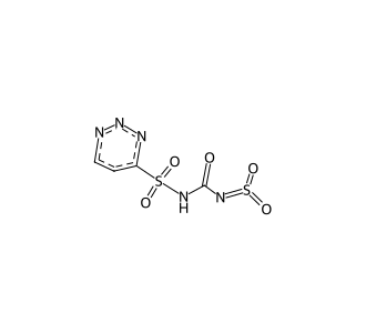 O=C(N=S(=O)=O)NS(=O)(=O)c1ccnnn1